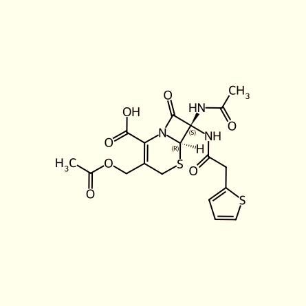 CC(=O)N[C@]1(NC(=O)Cc2cccs2)C(=O)N2C(C(=O)O)=C(COC(C)=O)CS[C@@H]21